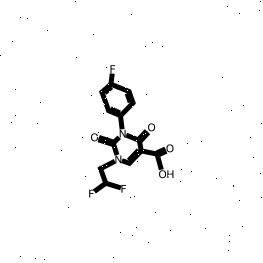 O=C(O)c1cn(CC(F)F)c(=O)n(-c2ccc(F)cc2)c1=O